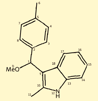 COC(c1ccc(C)cc1)c1c(C)[nH]c2ccccc12